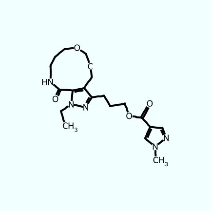 CCn1nc(CCCOC(=O)c2cnn(C)c2)c2c1C(=O)NCCCOCCC2